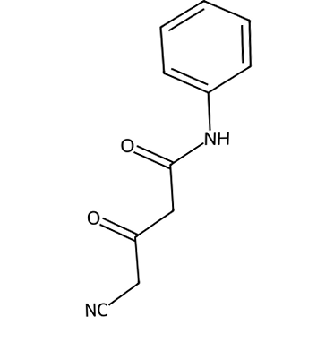 N#CCC(=O)CC(=O)Nc1ccccc1